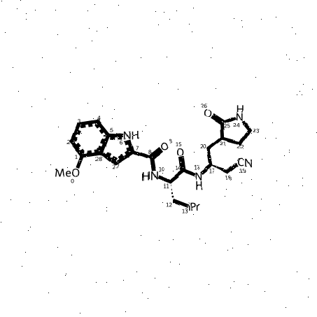 COc1cccc2[nH]c(C(=O)N[C@@H](CC(C)C)C(=O)N[C@H](CC#N)CC3CCNC3=O)cc12